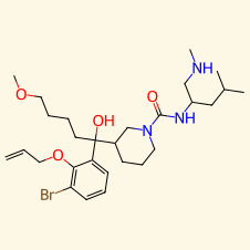 C=CCOc1c(Br)cccc1C(O)(CCCCOC)C1CCCN(C(=O)NC(CNC)CC(C)C)C1